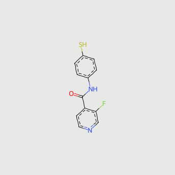 O=C(Nc1ccc(S)cc1)c1ccncc1F